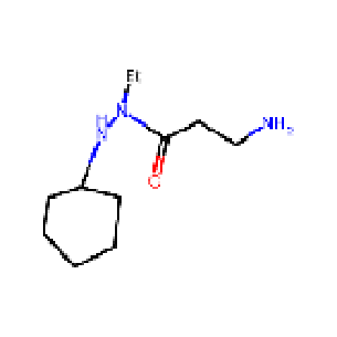 CCN(NC1CCCCC1)C(=O)CCN